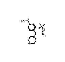 CC(C)(C)OC=O.C[C@H](N)c1ccc(CN2CCNCC2)cc1